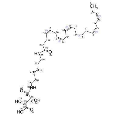 CC/C=C\C/C=C\C/C=C\C/C=C\C/C=C\C/C=C\CCC(=O)NCCSSCCNC(=O)[C@H](O)[C@@H](O)C(=O)O